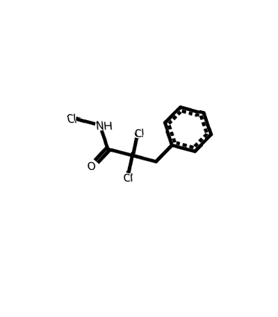 O=C(NCl)C(Cl)(Cl)Cc1ccccc1